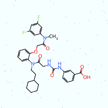 CN(C(=O)COc1ccccc1N(CCC1CCCCC1)C(=O)CNC(=O)Nc1cccc(C(=O)O)c1)c1cc(F)cc(F)c1